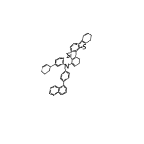 C[Si]1(C)C2=C(CCC=C2N(c2ccc(-c3cccc4ccccc34)cc2)c2cccc(C3C=CCCC3)c2)c2c1ccc1c3c(sc21)CCC=C3